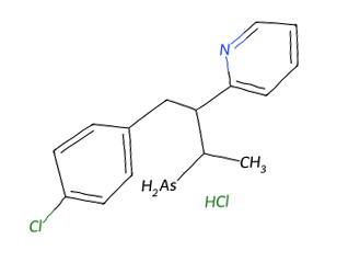 CC([AsH2])C(Cc1ccc(Cl)cc1)c1ccccn1.Cl